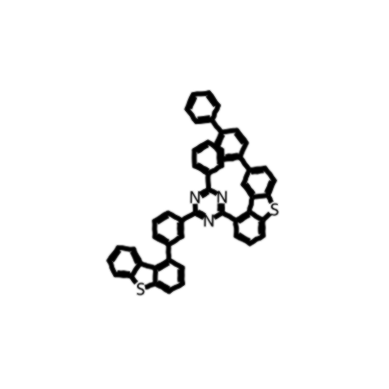 c1ccc(-c2ccc(-c3ccc4sc5cccc(-c6nc(-c7ccccc7)nc(-c7cccc(-c8cccc9sc%10ccccc%10c89)c7)n6)c5c4c3)cc2)cc1